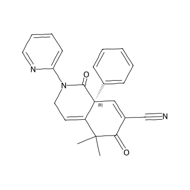 CC1(C)C(=O)C(C#N)=C[C@]2(c3ccccc3)C(=O)N(c3ccccn3)CC=C12